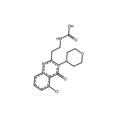 O=C(O)NCCc1nc2cccc(Cl)c2c(=O)n1N1CCOCC1